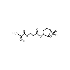 C=C(C)C(=O)OCCC(=O)OC1CCC2CC1OS2(=O)=O